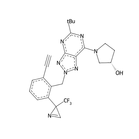 C#Cc1cccc(C2(C(F)(F)F)C=N2)c1Cn1nc2nc(C(C)(C)C)nc(N3CC[C@H](O)C3)c2n1